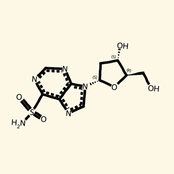 NS(=O)(=O)c1ncnc2c1ncn2[C@@H]1C[C@H](O)[C@@H](CO)O1